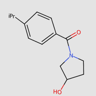 CC(C)c1ccc(C(=O)N2CCC(O)C2)cc1